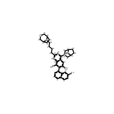 Fc1ccc2cccc(-c3c(Cl)cc4c(N5CC6CCC(C5)N6)nc(CCCCN5C6CCC5COC6)nc4c3F)c2c1